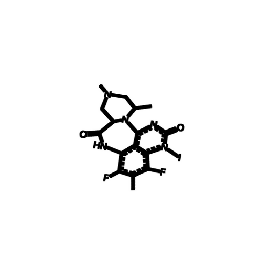 Cc1c(F)c2c3c(nc(=O)n(I)c3c1F)N1C(C)CN(C)CC1C(=O)N2